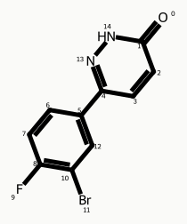 O=c1ccc(-c2ccc(F)c(Br)c2)n[nH]1